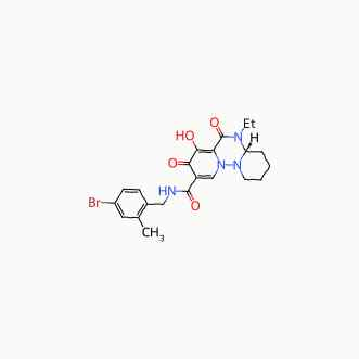 CCN1C(=O)c2c(O)c(=O)c(C(=O)NCc3ccc(Br)cc3C)cn2N2CCCC[C@@H]12